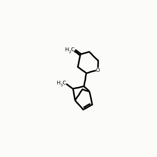 C=C1CCOC(C2C3C=CC(C3)C2C)C1